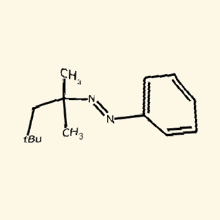 CC(C)(C)CC(C)(C)N=Nc1ccccc1